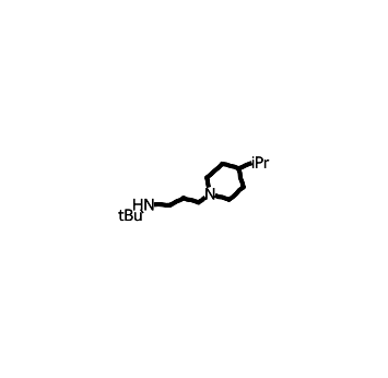 CC(C)C1CCN(CCCNC(C)(C)C)CC1